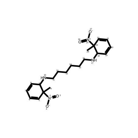 CC1([N+](=O)[O-])C=CC=CC1NCCCCCCNC1C=CC=CC1(C)[N+](=O)[O-]